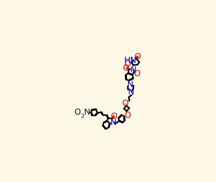 O=C1CCC(N2C(=O)c3ccc(N4CCN(CCCO[C@H]5C[C@H](Oc6ccc(CN7C(=O)/C(=C/C=C/c8ccc([N+](=O)[O-])cc8)c8ccccc87)cc6)C5)CC4)cc3C2=O)C(=O)N1